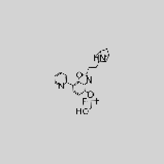 OCC(F)(F)Oc1ccc(-c2ccccn2)c2oc(CCC3CC4CC(C3)N4)nc12